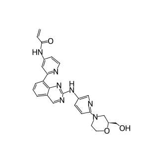 C=CC(=O)Nc1ccnc(-c2cccc3cnc(Nc4ccc(N5CCO[C@H](CO)C5)nc4)nc23)c1